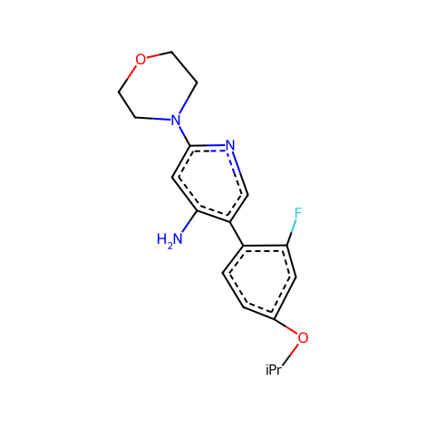 CC(C)Oc1ccc(-c2cnc(N3CCOCC3)cc2N)c(F)c1